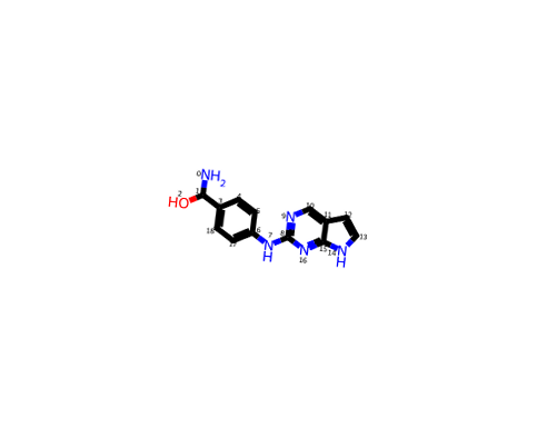 NC(O)c1ccc(Nc2ncc3cc[nH]c3n2)cc1